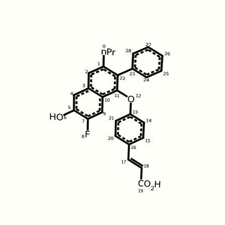 CCCc1cc2cc(O)c(F)cc2c(Oc2ccc(C=CC(=O)O)cc2)c1-c1ccccc1